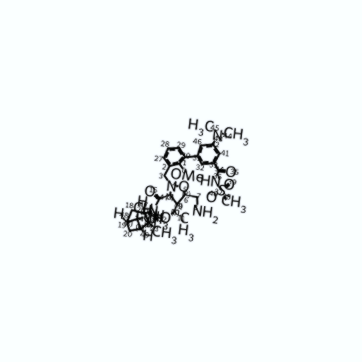 COc1c(CN2O[C@@H](CN)[C@@H]([C@H](C)O)[C@H]2C(=O)N[C@H]2C[C@H]3C[C@@H]([C@@H]2C)C3(C)C)cccc1-c1cc(C(=O)NS(C)(=O)=O)cc(N(C)C)c1